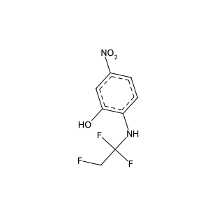 O=[N+]([O-])c1ccc(NC(F)(F)CF)c(O)c1